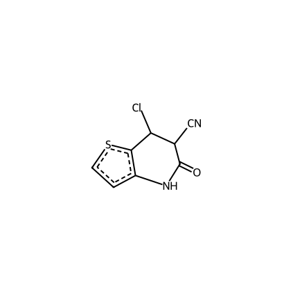 N#CC1C(=O)Nc2ccsc2C1Cl